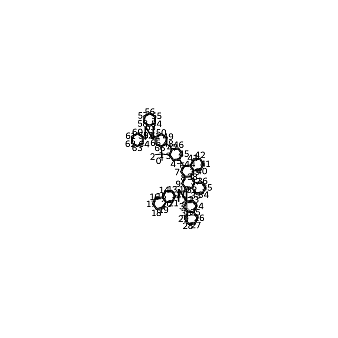 CC1(C)c2cc(-c3cc4cc(N(c5ccc6ccccc6c5)c5ccc6ccccc6c5)c5ccccc5c4c4ccccc34)ccc2-c2ccc(N(c3ccccc3)c3ccccc3)cc21